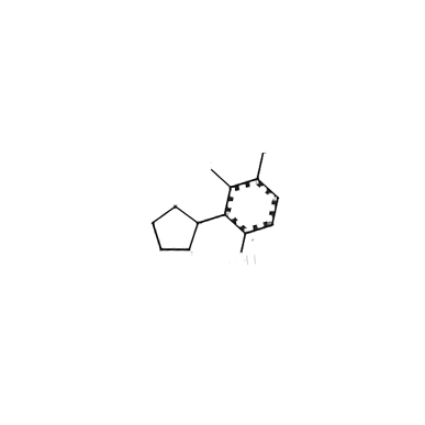 Cc1ccc(O)c(C2CCCC2)c1C